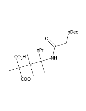 CCCCCCCCCCCC(=O)NC(C)(CCC)[N+](C)(C)C(C)(C(=O)[O-])C(=O)O